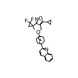 CC1(c2noc(C3CC3)c2COC23CCC(c4ccc5ccccc5n4)(CC2)CC3)CC1(F)F